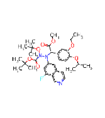 CCOc1cc(C(C(=O)OC)N(c2cc(F)c3cnccc3c2)N(OC(C)(C)C)C(=O)OC(C)(C)C)ccc1OC(C)C